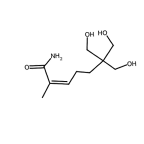 CC(=CCCC(CO)(CO)CO)C(N)=O